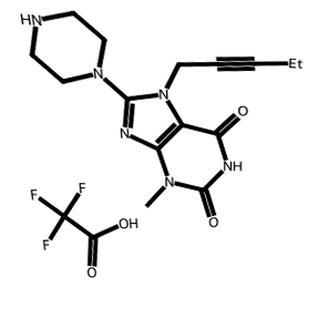 CCC#CCn1c(N2CCNCC2)nc2c1c(=O)[nH]c(=O)n2C.O=C(O)C(F)(F)F